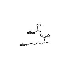 CCCCCCCCCCCCCCC(C)C(=O)OCC(CCCC)CCCCCCCCC